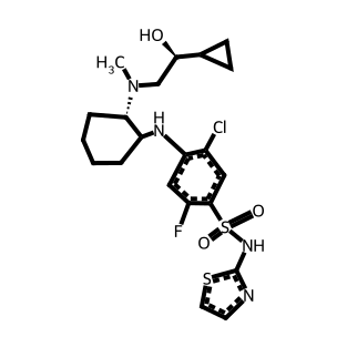 CN(C[C@@H](O)C1CC1)[C@H]1CCCCC1Nc1cc(F)c(S(=O)(=O)Nc2nccs2)cc1Cl